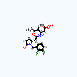 CCC(C)C(CC(=O)O)NC(=O)C[C@H]1CCC(=O)N1Cc1cccc(F)c1F